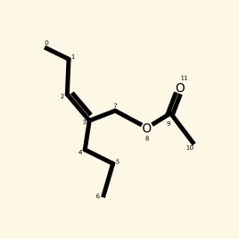 CCC=C(CCC)COC(C)=O